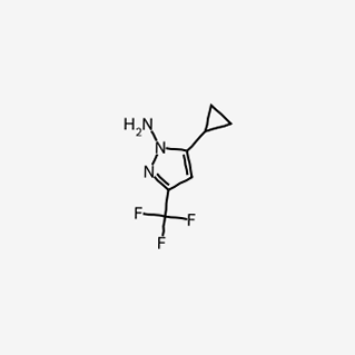 Nn1nc(C(F)(F)F)cc1C1CC1